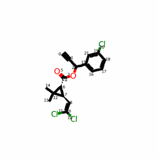 C#CC(OC(=O)[C@@H]1[C@@H](C=C(Cl)Cl)C1(C)C)c1cccc(Cl)c1